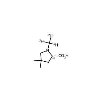 [2H]C([2H])([2H])N1CC(C)(C)C[C@H]1C(=O)O